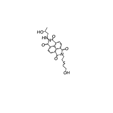 CC(O)CNN1C(=O)c2ccc3c4c(ccc(c24)C1=O)C(=O)N(CCSCCO)C3=O